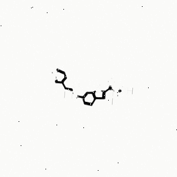 O=C(Cc1cccnc1)Nc1ccc2cc(C(=O)NO)sc2c1